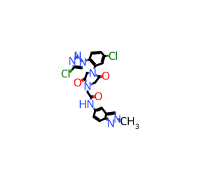 Cn1cc2cc(NC(=O)CN3CC(=O)N(c4cc(Cl)ccc4-n4cc(Cl)nn4)CC3=O)ccc2n1